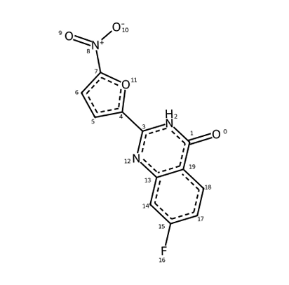 O=c1[nH]c(-c2ccc([N+](=O)[O-])o2)nc2cc(F)ccc12